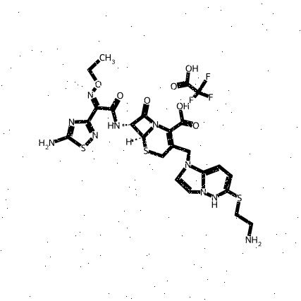 CCO/N=C(\C(=O)N[C@@H]1C(=O)N2C(C(=O)O)=C(CN3C=CN4NC(SCCN)=CC=C34)CS[C@@H]12)c1nsc(N)n1.O=C(O)C(F)(F)F